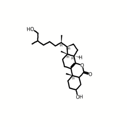 CC(CO)CCC[C@@H](C)[C@H]1CC[C@H]2C3=C(CC[C@]12C)[C@@]1(C)CCC(O)CC1C(=O)O3